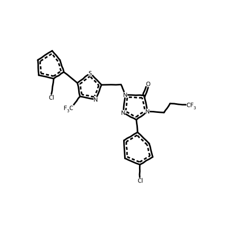 O=c1n(Cc2nc(C(F)(F)F)c(-c3ccccc3Cl)s2)nc(-c2ccc(Cl)cc2)n1CCC(F)(F)F